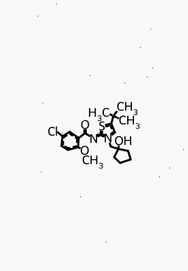 COc1ccc(Cl)cc1C(=O)/N=c1\sc(C(C)(C)C)cn1CC1(O)CCCC1